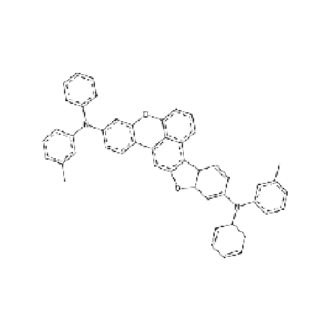 Cc1cccc(N(c2ccccc2)c2ccc3c(c2)Oc2cccc4c5c(cc-3c24)OC2C=C(N(c3cccc(C)c3)C3C=CC=CC3)C=CC52)c1